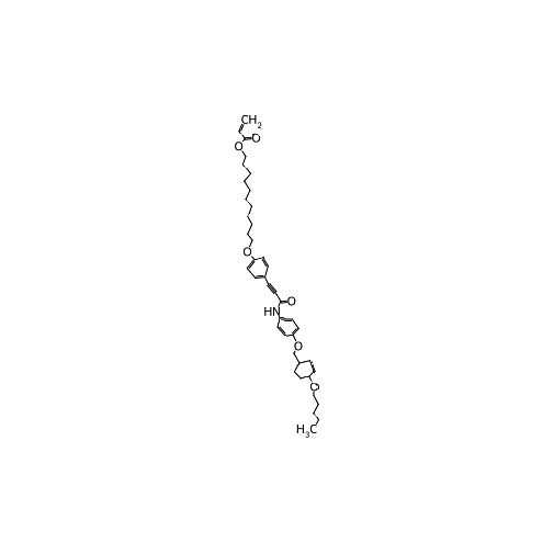 C=CC(=O)OCCCCCCCCCCCOc1ccc(C#CC(=O)Nc2ccc(OCC3CCC(OCCCCC)CC3)cc2)cc1